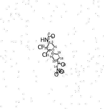 CC(=O)Nc1ccc(-c2ccc(C(=O)C[N+](=O)[O-])cc2)c(Cl)c1Cl